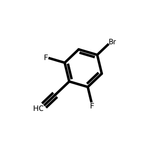 C#Cc1c(F)cc(Br)cc1F